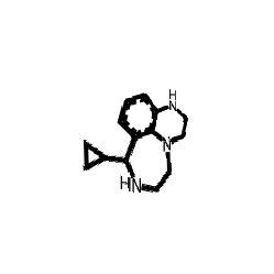 c1cc2c3c(c1)C(C1CC1)NCCN3CCN2